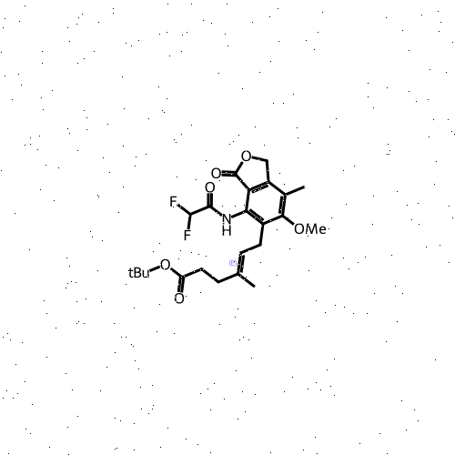 COc1c(C)c2c(c(NC(=O)C(F)F)c1C/C=C(\C)CCC(=O)OC(C)(C)C)C(=O)OC2